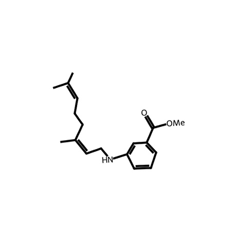 COC(=O)c1cccc(NCC=C(C)CCC=C(C)C)c1